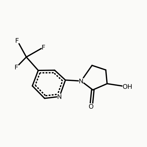 O=C1C(O)CCN1c1cc(C(F)(F)F)ccn1